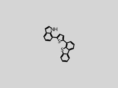 c1cc(-c2ccc(-c3cccc4c3sc3ccccc34)s2)c2[nH]ccc2c1